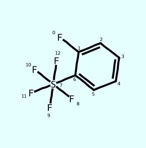 Fc1ccccc1S(F)(F)(F)(F)F